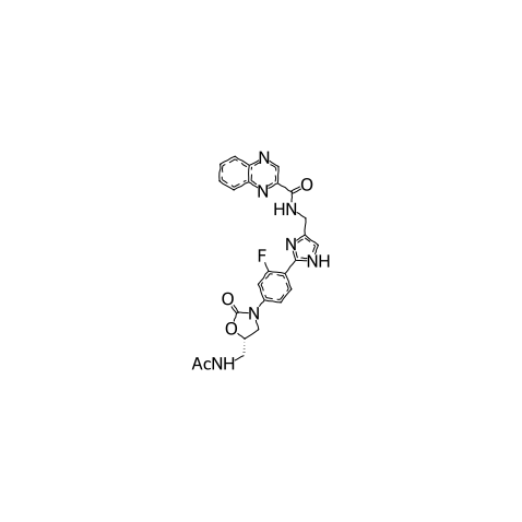 CC(=O)NC[C@H]1CN(c2ccc(-c3nc(CNC(=O)c4cnc5ccccc5n4)c[nH]3)c(F)c2)C(=O)O1